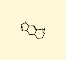 C1=NC2CC3CCCNC3=CC2S1